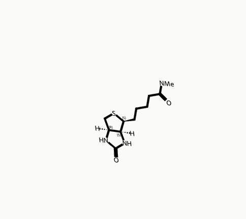 CNC(=O)CCCC[C@@H]1SC[C@@H]2NC(=O)N[C@@H]21